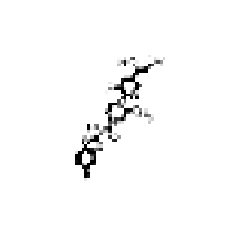 CC1CN(C(=O)Nc2nc3ccc(F)cc3s2)CCN1c1ncc([C@H](O)CO)cc1F